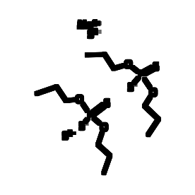 CCCOP(=S)([S-])OCCC.CCCOP(=S)([S-])OCCC.[Mo+6].[S-2].[S-2]